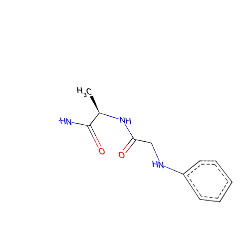 C[C@@H](NC(=O)CNc1ccccc1)C([NH])=O